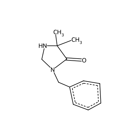 CC1(C)NCN(Cc2ccccc2)C1=O